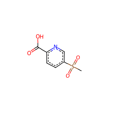 CS(=O)(=O)c1ccc(C(=O)O)nc1